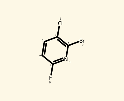 Fc1ccc(Cl)c(Br)n1